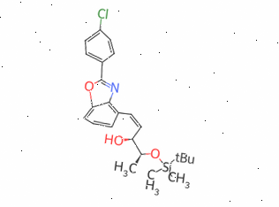 C[C@H](O[Si](C)(C)C(C)(C)C)[C@@H](O)/C=C\c1cccc2oc(-c3ccc(Cl)cc3)nc12